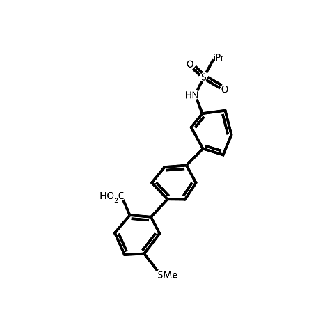 CSc1ccc(C(=O)O)c(-c2ccc(-c3cccc(NS(=O)(=O)C(C)C)c3)cc2)c1